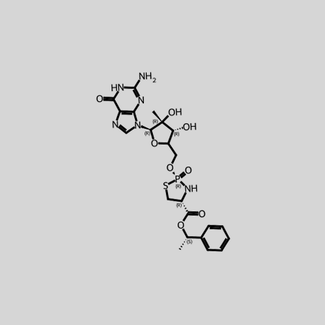 C[C@H](OC(=O)[C@@H]1CS[P@](=O)(OCC2O[C@@H](n3cnc4c(=O)[nH]c(N)nc43)[C@](C)(O)[C@@H]2O)N1)c1ccccc1